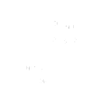 CCNS(=O)(=O)c1cccc(B(O)O)c1